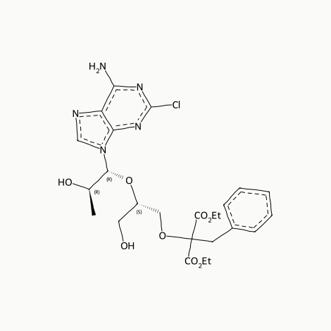 CCOC(=O)C(Cc1ccccc1)(OC[C@H](CO)O[C@H]([C@@H](C)O)n1cnc2c(N)nc(Cl)nc21)C(=O)OCC